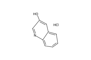 Cl.Oc1cnc2ccccc2c1